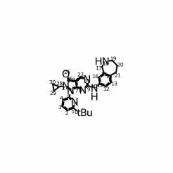 CC(C)(C)c1cccc(-n2c3nc(Nc4ccc5c(c4)CNCCC5)ncc3c(=O)n2C2CC2)n1